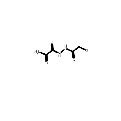 NC(=O)C(=O)NNC(=O)CCl